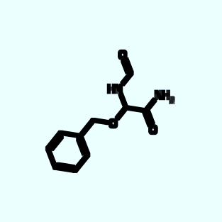 NC(=O)C(NC=O)OCc1ccccc1